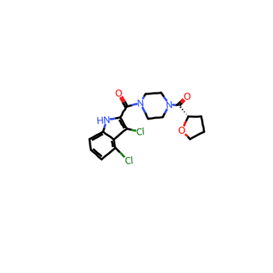 O=C(c1[nH]c2cccc(Cl)c2c1Cl)N1CCN(C(=O)[C@@H]2CCCO2)CC1